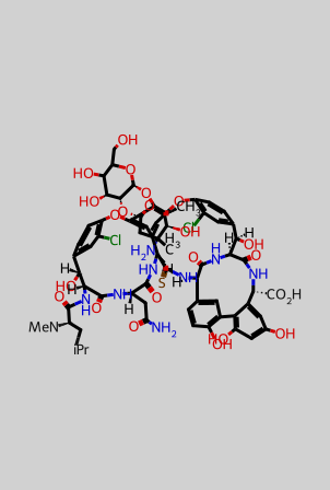 CN[C@H](CC(C)C)C(=O)N[C@H]1C(=O)N[C@@H](CC(N)=O)C(=O)N[C@H]2C(=S)N[C@H]3C(=O)N[C@H](C(=O)N[C@H](C(=O)O)c4cc(O)cc(O)c4-c4cc3ccc4O)[C@H](O)c3ccc(c(Cl)c3)Oc3cc2cc(c3O[C@@H]2OC(CO)C(O)[C@H](O)[C@H]2O[C@H]2CC(C)(N)[C@H](O)[C@H](C)O2)Oc2ccc(cc2Cl)[C@H]1O